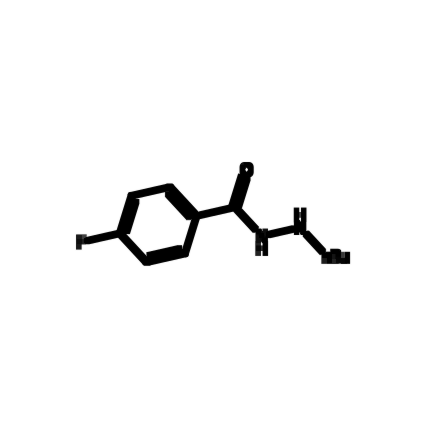 CCCCNNC(=O)c1ccc(F)cc1